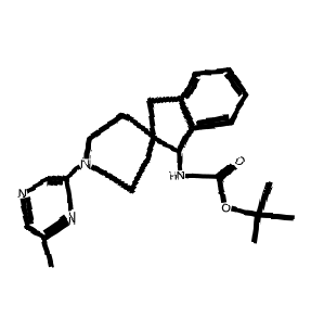 Cc1cncc(N2CCC3(CC2)Cc2ccccc2C3NC(=O)OC(C)(C)C)n1